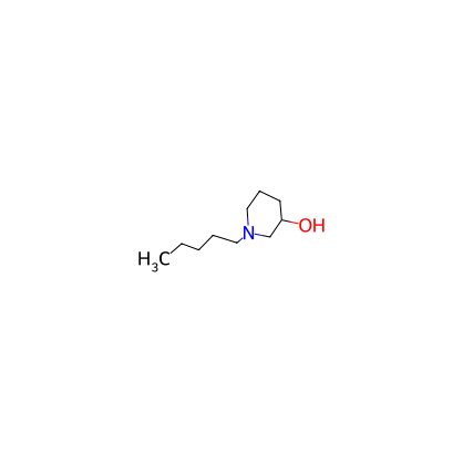 CCCCCN1CCCC(O)C1